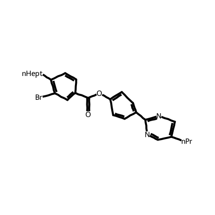 CCCCCCCc1ccc(C(=O)Oc2ccc(-c3ncc(CCC)cn3)cc2)cc1Br